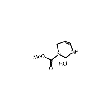 COC(=O)N1CC=CNC1.Cl